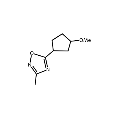 COC1CCC(c2nc(C)no2)C1